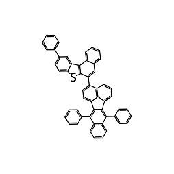 c1ccc(-c2ccc3sc4c(-c5ccc6c7c(cccc57)-c5c-6c(-c6ccccc6)c6ccccc6c5-c5ccccc5)cc5ccccc5c4c3c2)cc1